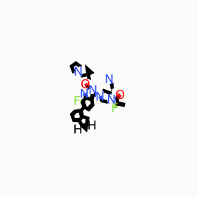 C=C(F)C(=O)N1CCN(c2nc(OCC3(CN4CCCC4)CC3)nc3c(F)c(-c4cccc5c4C[C@H]4C[C@@H]54)ccc23)C[C@@H]1CC#N